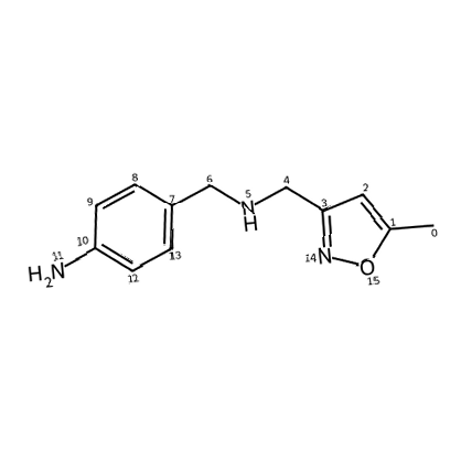 Cc1cc(CNCc2ccc(N)cc2)no1